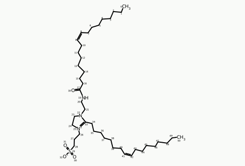 CCCCCCCC/C=C\CCCCCCCC(=O)NCCN1CC[N+](CCCS(=O)(=O)[O-])=C1CCCCCCC/C=C\CCCCCCCC